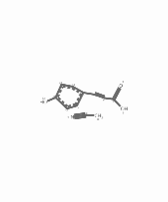 CC#N.O=C(O)C=Cc1ccc(O)cc1